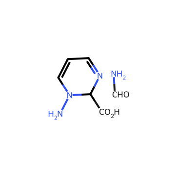 NC=O.NN1C=CC=NC1C(=O)O